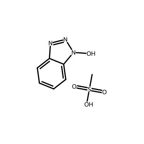 CS(=O)(=O)O.On1nnc2ccccc21